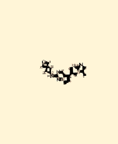 Cc1cnc2ncc(-c3ccn4nc(NC5CC6(COC6)C5)ncc34)cn12